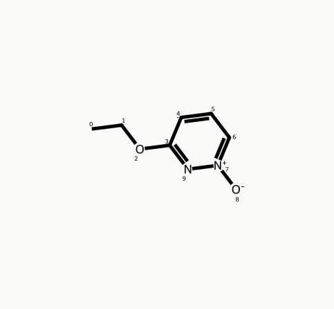 CCOc1[c]cc[n+]([O-])n1